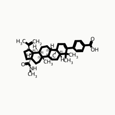 C=C(C)[C@@H]1CC[C@]2(C(=O)NC)CC[C@@]3(C)C4CC[C@H]5C(C)(C)C(c6ccc(C(=O)O)cc6)=CC[C@]5(C)[C@H]4CC[C@@H]3[C@@H]12